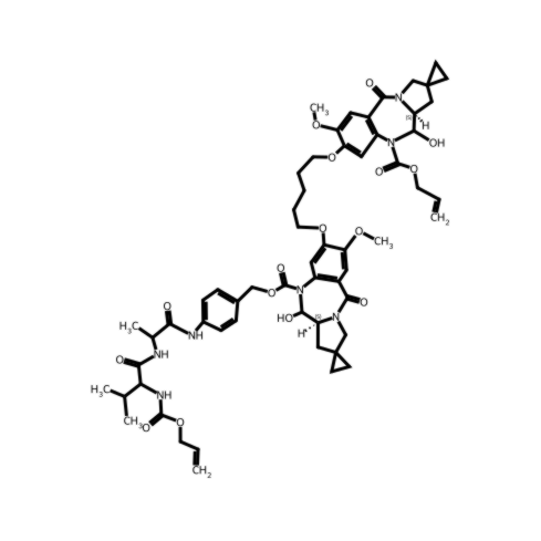 C=CCOC(=O)NC(C(=O)NC(C)C(=O)Nc1ccc(COC(=O)N2c3cc(OCCCCCOc4cc5c(cc4OC)C(=O)N4CC6(CC6)C[C@H]4C(O)N5C(=O)OCC=C)c(OC)cc3C(=O)N3CC4(CC4)C[C@H]3C2O)cc1)C(C)C